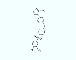 Cc1ccnn1-c1ccc(CN2CCN(S(=O)(=O)c3ccc(Cl)c(C(F)(F)F)c3)CC2)cc1